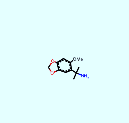 COc1cc2c(cc1C(C)(C)N)OCO2